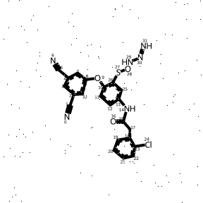 N#Cc1cc(C#N)cc(Oc2ccc(NC(=O)Cc3ccccc3Cl)cc2SONN=N)c1